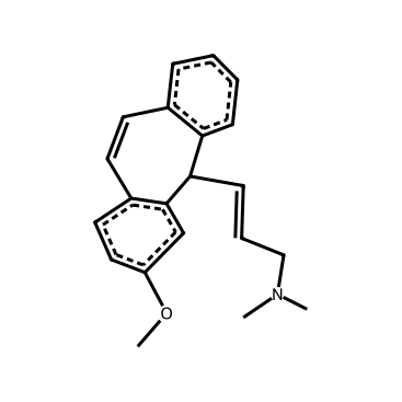 COc1ccc2c(c1)C(C=CCN(C)C)c1ccccc1C=C2